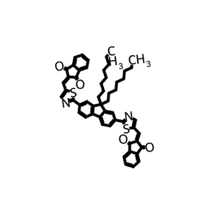 CCCCCCCCC1(CCCCCCCC)c2cc(-c3ncc(C=C4C(=O)c5ccccc5C4=O)s3)ccc2-c2ccc(-c3ncc(C=C4C(=O)c5ccccc5C4=O)s3)cc21